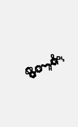 Cn1ncc(NCCCN2CCN(c3cccc4c3OCCO4)CC2)cc1=O